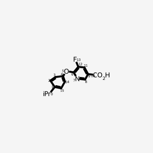 CC(C)c1ccc(Oc2ncc(C(=O)O)cc2F)cc1